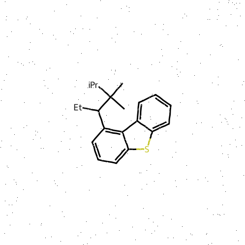 CCC(c1cccc2sc3ccccc3c12)C(C)(C)C(C)C